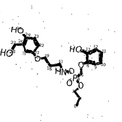 CCCOP(=O)(COc1ccccc1O)ONCCCOc1ccc(O)c(CO)c1